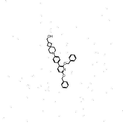 OCC1CC2(CCN(c3ccc(-c4ccc(OCc5ccccc5)nc4OCc4ccccc4)cc3)CC2)C1